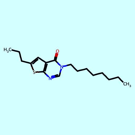 CCCCCCCCn1cnc2sc(CCC)cc2c1=O